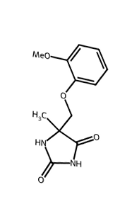 COc1ccccc1OCC1(C)NC(=O)NC1=O